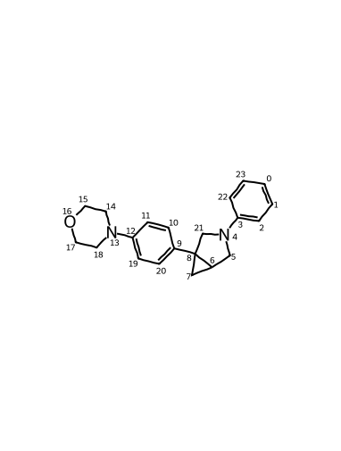 c1ccc(N2CC3CC3(c3ccc(N4CCOCC4)cc3)C2)cc1